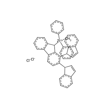 [CH3][Zr+2]([c]1ccccc1)([c]1ccccc1)[CH]1c2ccccc2-c2ccc(C3C=Cc4ccccc43)c(C3C=Cc4ccccc43)c21.[Cl-].[Cl-]